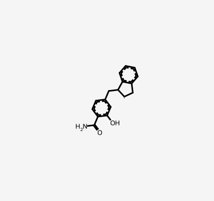 NC(=O)c1ccc(CC2[CH]Cc3ccccc32)cc1O